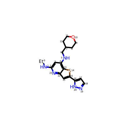 CCNc1cc(NCC2CCOCC2)c2sc(-c3ccn[nH]3)cc2n1